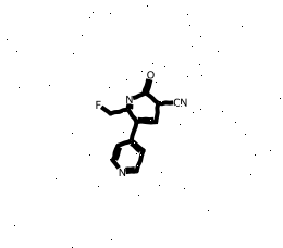 N#CC1C=C(c2ccncc2)C(CF)=NC1=O